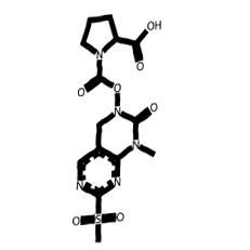 CN1C(=O)N(OC(=O)N2CCCC2C(=O)O)Cc2cnc(S(C)(=O)=O)nc21